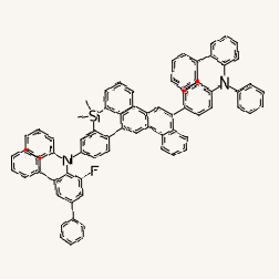 C[Si]1(C)c2cc(N(c3ccccc3)c3c(F)cc(-c4ccccc4)cc3-c3ccccc3)ccc2-c2cc3c4ccccc4c(-c4ccc(N(c5ccccc5)c5ccccc5-c5ccccc5)cc4)cc3c3cccc1c23